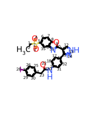 CCS(=O)(=O)c1ccc2oc(-c3c[nH]nc3-c3ccc(NC(=O)Cc4ccc(I)cc4)cc3)nc2c1